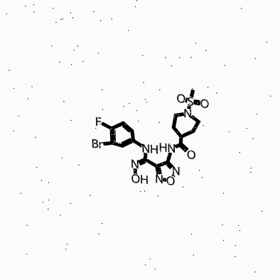 CS(=O)(=O)N1CCC(C(=O)Nc2nonc2/C(=N\O)Nc2ccc(F)c(Br)c2)CC1